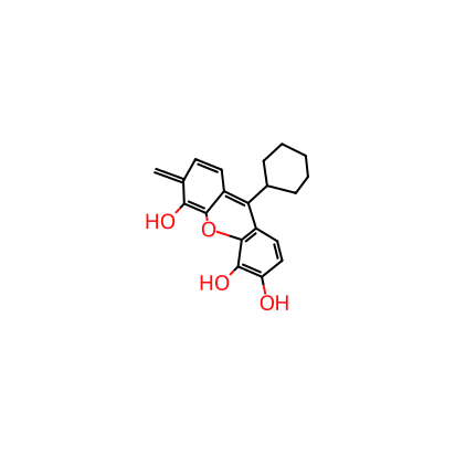 C=c1ccc2c(c1O)Oc1c(ccc(O)c1O)C=2C1CCCCC1